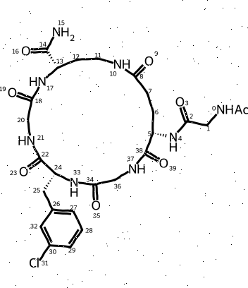 CC(=O)NCC(=O)N[C@H]1CCC(=O)NCC[C@@H](C(N)=O)NC(=O)CNC(=O)[C@@H](Cc2cccc(Cl)c2)NC(=O)CNC1=O